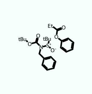 CC(C)(C)OC(=O)N(Cc1ccccc1)[S+]([O-])C(C)(C)C.CCC(=O)Oc1ccccc1